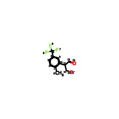 Cc1ccc(C(F)(F)F)cc1C(C=O)CBr